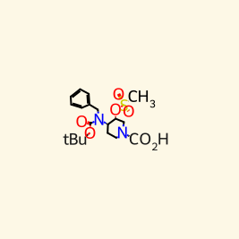 CC(C)(C)OC(=O)N(Cc1ccccc1)[C@@H]1CCN(C(=O)O)C[C@H]1OS(C)(=O)=O